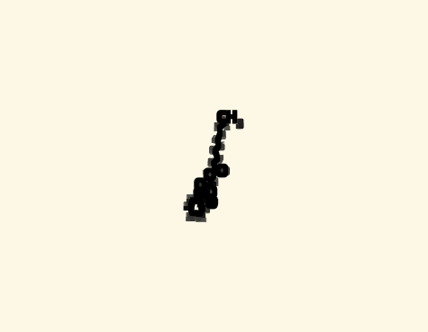 CCCCCCCCCC(=O)OCC(=O)OS(=O)(=O)c1ccccc1